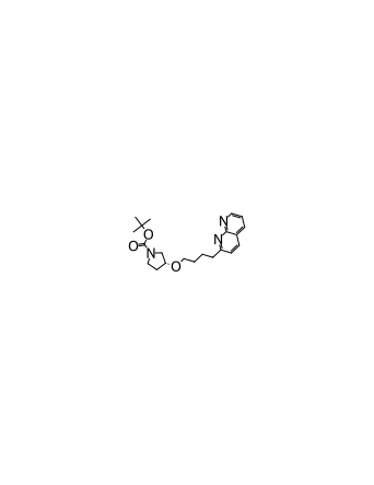 CC(C)(C)OC(=O)N1CC[C@@H](OCCCCc2ccc3cccnc3n2)C1